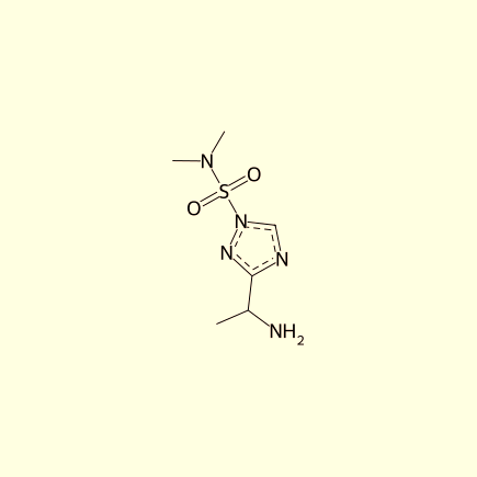 CC(N)c1ncn(S(=O)(=O)N(C)C)n1